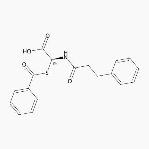 O=C(CCc1ccccc1)N[C@@H](SC(=O)c1ccccc1)C(=O)O